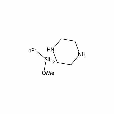 C1CNCCN1.CCC[SiH2]OC